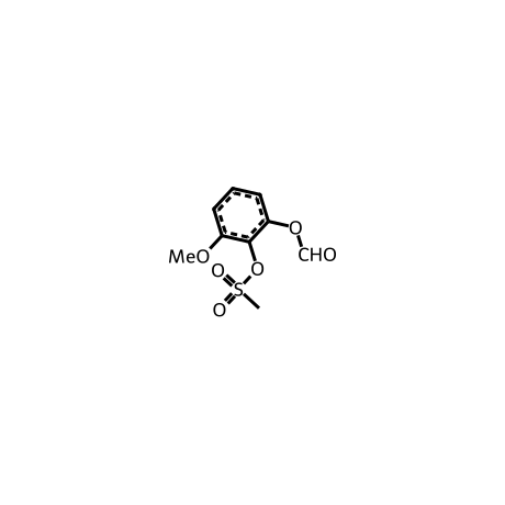 COc1cccc(OC=O)c1OS(C)(=O)=O